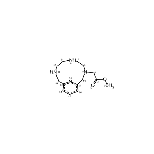 BOC(=O)CN1CCNCCNCc2cccc(n2)C1